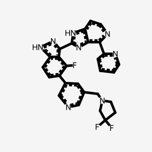 Fc1c(-c2cncc(CN3CCC(F)(F)C3)c2)ccc2[nH]nc(-c3nc4c(-c5ccccn5)nccc4[nH]3)c12